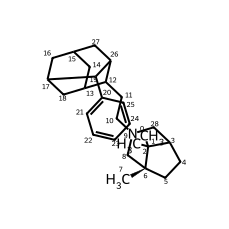 CC1(C)C2CC[C@]1(C)CN(CCC1C3CC4CC(C3)C(c3ccccc3)C1C4)C2